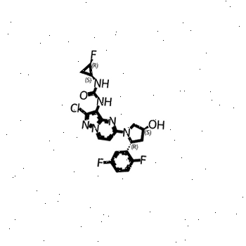 O=C(Nc1c(Cl)nn2ccc(N3C[C@@H](O)C[C@@H]3c3cc(F)ccc3F)nc12)N[C@H]1C[C@H]1F